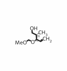 C=C[C@@H](OCOC)[C@@H](C)CO